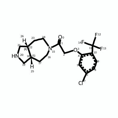 O=C(COc1cc(Cl)ccc1C(F)(F)F)N1CC[C@@H]2CNC[C@@H]2CC1